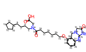 O=C(O)CN(CCCCC1CCCC1)C(=O)CCCCCCOc1cccc2c1CN1CC(=O)NC1=N2